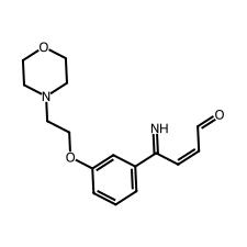 N=C(/C=C\C=O)c1cccc(OCCN2CCOCC2)c1